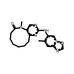 Cc1cc2ncnn2cc1Nc1ncc2c(n1)CCCCCCC(=O)N2C